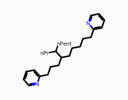 [CH2]CCC(CCCCC)C(CCCCCc1ccccn1)CCCc1ccccn1